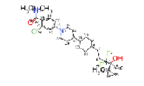 CC(=O)C(O)(C(F)(F)CCC1CCC(C2CCN(c3ccc(C(=O)N(C)C)c(Cl)c3)CC2)CC1)C1(C)CC1